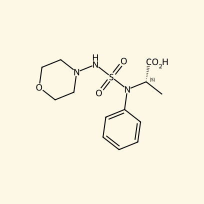 C[C@@H](C(=O)O)N(c1ccccc1)S(=O)(=O)NN1CCOCC1